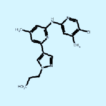 Cc1cc(Nc2cc(C)c(Cl)cn2)nc(-c2cnn(CCC(=O)O)c2)c1